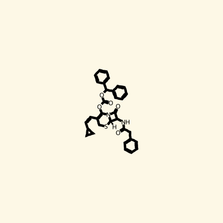 O=C(Cc1ccccc1)NC1C(=O)N2C(OC(=O)OC(c3ccccc3)c3ccccc3)=C(/C=C\C3CC3)CS[C@@H]12